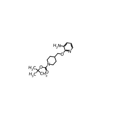 CC(C)(C)OC(=O)N1CCC(COc2ncccc2N)CC1